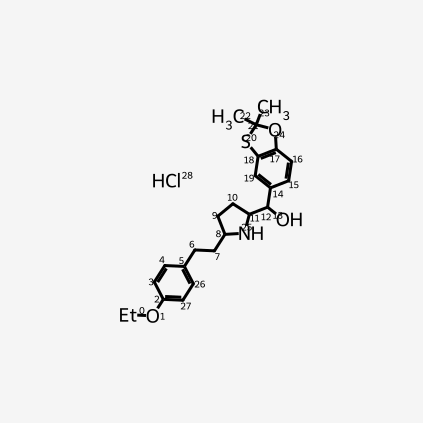 CCOc1ccc(CCC2CCC(C(O)c3ccc4c(c3)SC(C)(C)O4)N2)cc1.Cl